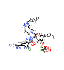 CCOC(=O)Cn1cc2c(n1)CCN(C(=O)[C@H](Cc1ccc([N+](=O)[O-])cc1)NC(=O)c1ccc(C(=N)N)cc1Cl)C2.O=C(O)C(F)(F)F